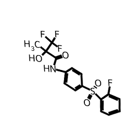 CC(O)(C(=O)Nc1ccc(S(=O)(=O)c2ccccc2F)cc1)C(F)(F)F